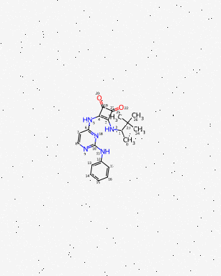 CC(Nc1c(Nc2ccnc(Nc3ccccc3)n2)c(=O)c1=O)C(C)(C)C